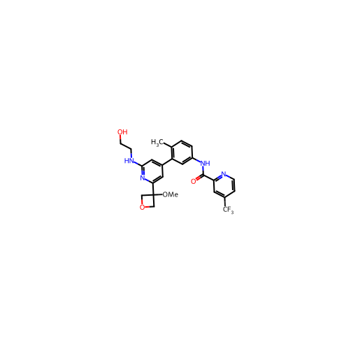 COC1(c2cc(-c3cc(NC(=O)c4cc(C(F)(F)F)ccn4)ccc3C)cc(NCCO)n2)COC1